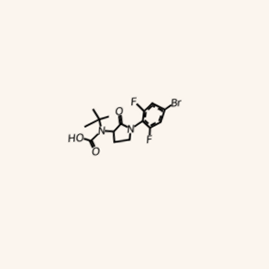 CC(C)(C)N(C(=O)O)C1CCN(c2c(F)cc(Br)cc2F)C1=O